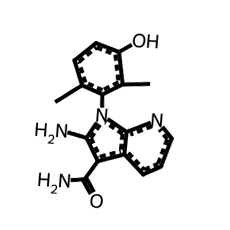 Cc1ccc(O)c(C)c1-n1c(N)c(C(N)=O)c2cccnc21